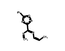 C=N/C(=N\C=C/C)c1noc(C(C)C)n1